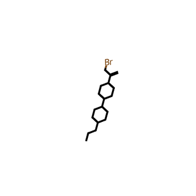 C=C(CBr)C1CCC(C2CCC(CCC)CC2)CC1